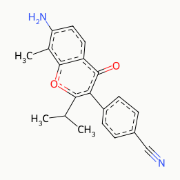 Cc1c(N)ccc2c(=O)c(-c3ccc(C#N)cc3)c(C(C)C)oc12